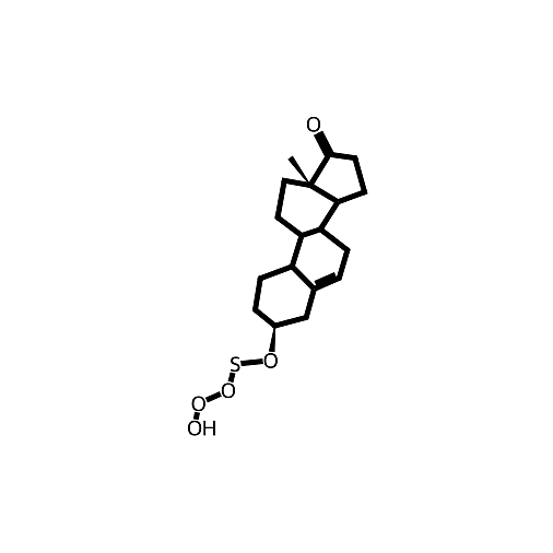 C[C@]12CCC3C4CC[C@H](OSOOO)CC4=CCC3C1CCC2=O